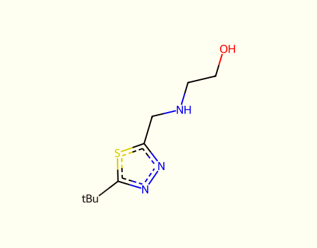 CC(C)(C)c1nnc(CNCCO)s1